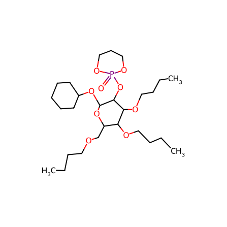 CCCCOCC1OC(OC2CCCCC2)C(OP2(=O)OCCCO2)C(OCCCC)C1OCCCC